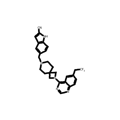 N#Cc1cc2cc(CN3CCC4(CC3)CN(c3ncnc5ccc(CC(F)(F)F)cc35)C4)ccc2[nH]1